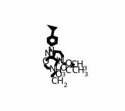 C=CC(=O)N1CCOc2nn(-c3ccc(C4CC4)cc3)c3c2[C@H](C1)N(C(=O)OC(C)(C)C)CC3